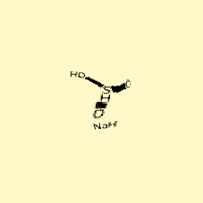 O=[SH](=O)O.[NaH]